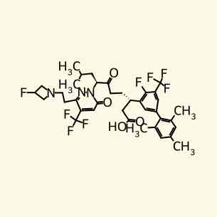 Cc1cc(C)c(-c2cc([C@@H](CCC(=O)[C@H](CC(C)C)n3nc(CCN4CC(F)C4)c(C(F)(F)F)cc3=O)CC(=O)O)c(F)c(C(F)(F)F)c2)c(C)c1